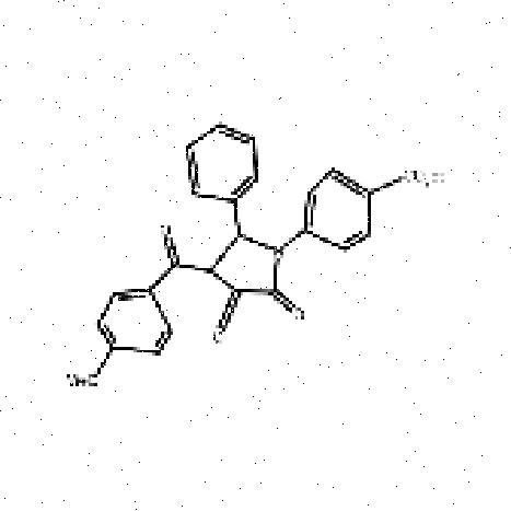 CCOC(=O)c1ccc(N2C(=O)C(=O)C(C(=O)c3ccc(OC)cc3)C2c2ccccc2)cc1